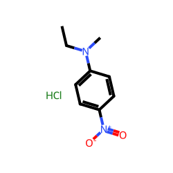 CCN(C)c1ccc([N+](=O)[O-])cc1.Cl